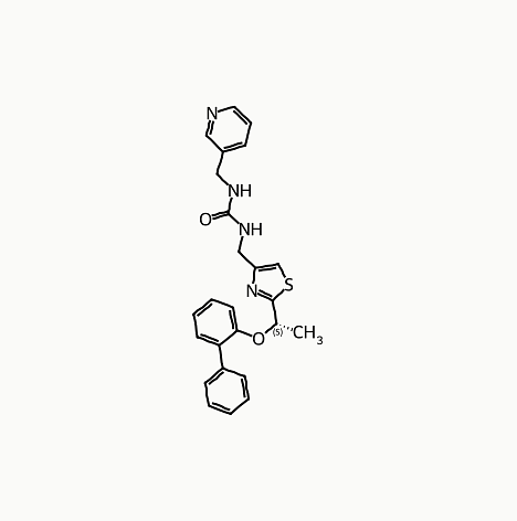 C[C@H](Oc1ccccc1-c1ccccc1)c1nc(CNC(=O)NCc2cccnc2)cs1